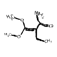 CCC(C(N)=O)=C(OC)OC